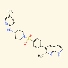 Cc1ccc(NC2CCN(S(=O)(=O)c3ccc(-c4cc5cc[nH]c5nc4C)cc3)CC2)nc1